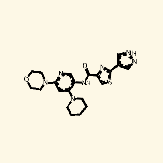 O=C(Nc1cnc(N2CCOCC2)cc1N1CCCCC1)c1csc(-c2cn[nH]c2)n1